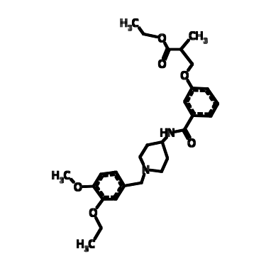 CCOC(=O)C(C)COc1cccc(C(=O)NC2CCN(Cc3ccc(OC)c(OCC)c3)CC2)c1